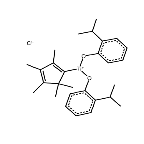 CC1=C(C)C(C)(C)[C]([Ti+]([O]c2ccccc2C(C)C)[O]c2ccccc2C(C)C)=C1C.[Cl-]